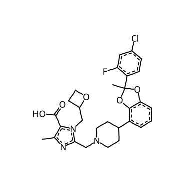 Cc1nc(CN2CCC(c3cccc4c3OC(C)(c3ccc(Cl)cc3F)O4)CC2)n(CC2CCO2)c1C(=O)O